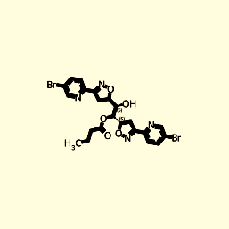 CCCC(=O)OC([C@H](O)C1CC(c2ccc(Br)cn2)=NO1)[C@@H]1CC(c2ccc(Br)cn2)=NO1